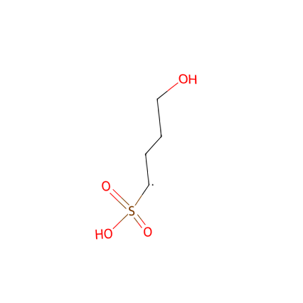 O=S(=O)(O)[CH]CCCO